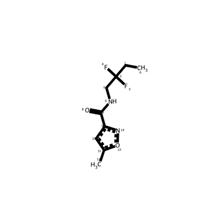 CCC(F)(F)CNC(=O)c1cc(C)on1